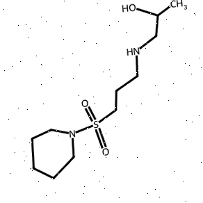 CC(O)CNCCCS(=O)(=O)N1CC[CH]CC1